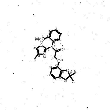 COc1ccccc1N(C(=O)COc1cccc2c1OC(C)(C)C2)c1nc(C)cs1